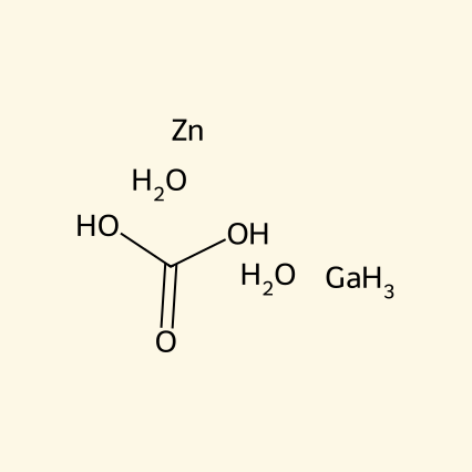 O.O.O=C(O)O.[GaH3].[Zn]